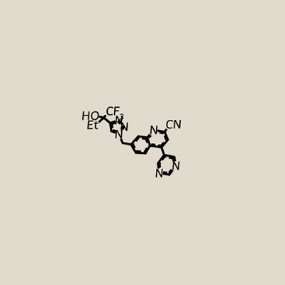 CCC(O)(c1cn(Cc2ccc3c(-c4cncnc4)cc(C#N)nc3c2)nn1)C(F)(F)F